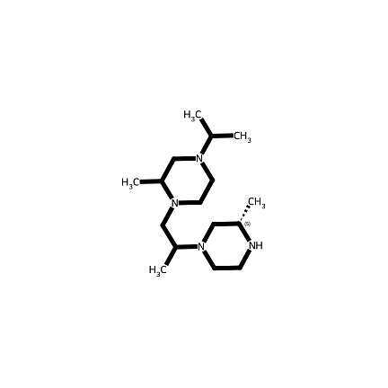 CC(C)N1CCN(CC(C)N2CCN[C@@H](C)C2)C(C)C1